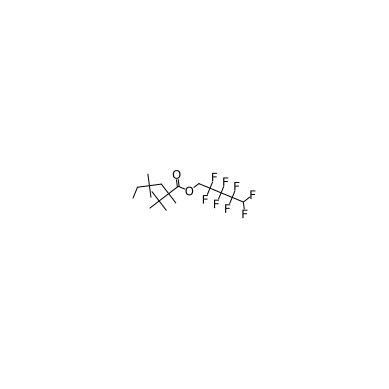 CCC(C)(C)CC(C)(C(=O)OCC(F)(F)C(F)(F)C(F)(F)C(F)F)C(C)(C)C